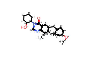 COc1ccc(Cc2cc3c(=O)n(C4CCCCC4O)cnc3c(C)c2C)cc1